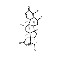 CCCCCC(=O)O[C@]1(C(=O)CCl)[C@@H](C)C[C@H]2[C@@H]3C[C@H](F)C4=C(F)C(=O)C=C[C@]4(C)[C@@]3(F)[C@@H](O)C[C@@]21C